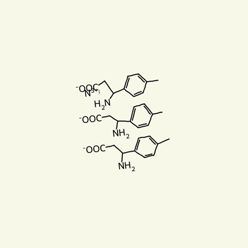 Cc1ccc(C(N)CC(=O)[O-])cc1.Cc1ccc(C(N)CC(=O)[O-])cc1.Cc1ccc(C(N)CC(=O)[O-])cc1.[N+3]